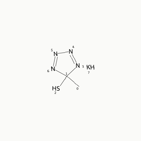 CC1(S)N=NN=N1.[KH]